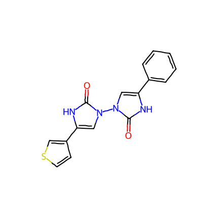 O=c1[nH]c(-c2ccccc2)cn1-n1cc(-c2ccsc2)[nH]c1=O